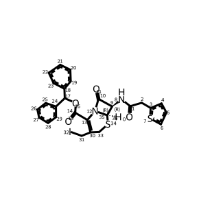 O=C(Cc1cccs1)N[C@@H]1C(=O)N2C(C(=O)OC(c3ccccc3)c3ccccc3)=C(CI)CS[C@H]12